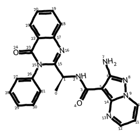 C[C@H](NC(=O)c1c(N)nn2cccnc12)c1nc2ccccc2c(=O)n1-c1ccccc1